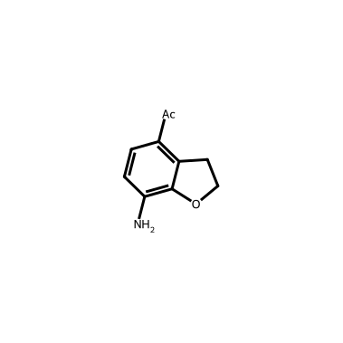 CC(=O)c1ccc(N)c2c1CCO2